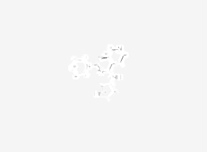 c1cc2c(N[C@@H]3CCNC3)nc(N3CCOCC3)nc2cn1